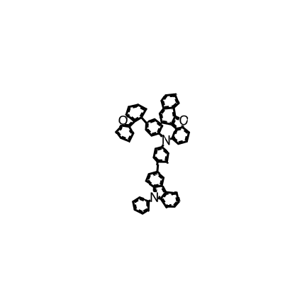 c1ccc(-n2c3ccccc3c3cc(-c4ccc(N(c5ccc(-c6cccc7oc8ccccc8c67)cc5)c5cccc6oc7c8ccccc8ccc7c56)cc4)ccc32)cc1